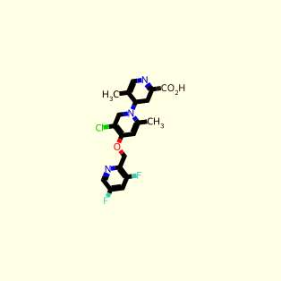 CC1=CN=C(C(=O)O)CC1N1CC(Cl)=C(OCc2ncc(F)cc2F)C=C1C